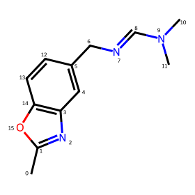 Cc1nc2cc(C/N=C/N(C)C)ccc2o1